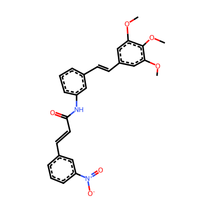 COc1cc(C=Cc2cccc(NC(=O)/C=C/c3cccc([N+](=O)[O-])c3)c2)cc(OC)c1OC